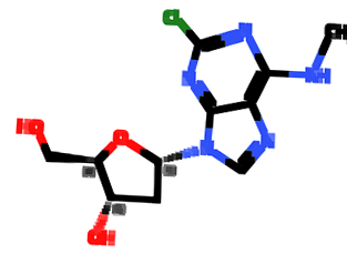 CNc1nc(Cl)nc2c1ncn2[C@@H]1C[C@H](O)[C@@H](CO)O1